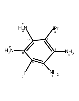 CC(C)c1c(N)c(N)c(I)c(N)c1N